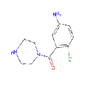 Nc1ccc(Cl)c(C(=O)N2CCNCC2)c1